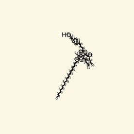 CCCCCCCCCCCCCCCCCCCCOC(=O)C(C)SC(CCCCC)C(OC(=O)CCCN1CCN(CCO)CC1)C(=O)OCCC